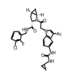 CC(=O)c1cn(CC(=O)N2[C@@H]3C[C@@H]3C[C@H]2C(=O)NCc2cccc(Cl)c2F)c2ccc(NC(=O)NC3CC3)cc12